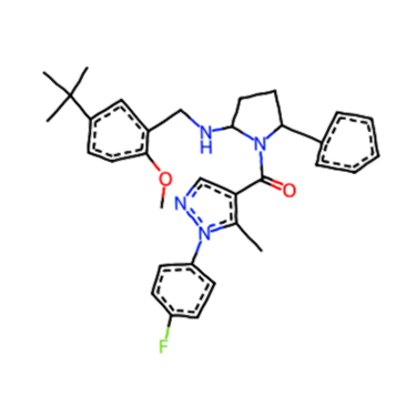 COc1ccc(C(C)(C)C)cc1CNC1CCC(c2ccccc2)N1C(=O)c1cnn(-c2ccc(F)cc2)c1C